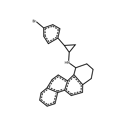 Brc1ccc(C2CC2NC2CCCc3ccc4c(ccc5ccccc54)c32)cc1